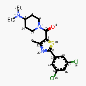 CCN(CC)C1CCN(C(=O)c2sc(-c3cc(Cl)cc(Cl)c3)nc2C)CC1